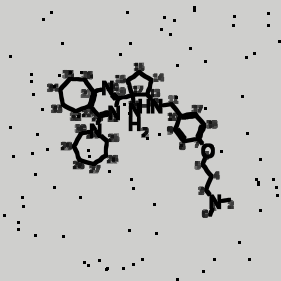 CN(C)CCCOc1ccc(CNC2CCCC2(N)c2nc3c(c(N4CCCCCC4)n2)CCCCC3)cc1